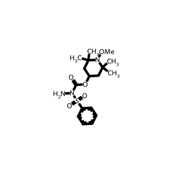 CON1C(C)(C)CC(OC(=O)N(N)S(=O)(=O)c2ccccc2)CC1(C)C